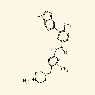 Cc1ccc(C(=O)Nc2ccc(CN3CCN(C)CC3)c(C(F)(F)F)c2)cc1-c1ccc2[nH]cnc2c1